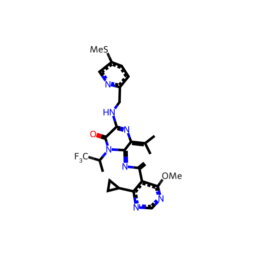 C=C(/N=C1\C(=C(C)C)N=C(NCc2ccc(SC)cn2)C(=O)N1C(C)C(F)(F)F)c1c(OC)ncnc1C1CC1